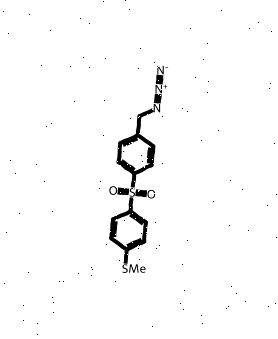 CSc1ccc(S(=O)(=O)c2ccc(CN=[N+]=[N-])cc2)cc1